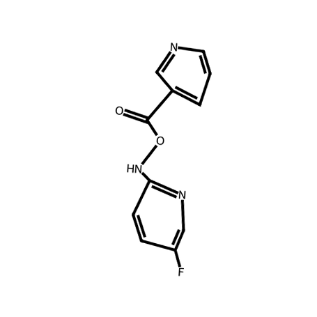 O=C(ONc1ccc(F)cn1)c1cccnc1